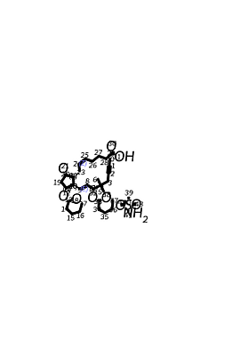 CC#CCC(C)(C)[C@@H](/C=C/[C@H]1[C@H](OC2CCCCO2)CC(=O)[C@@H]1C/C=C\CCCC(=O)O)OC1CCCCO1.CS(N)(=O)=O